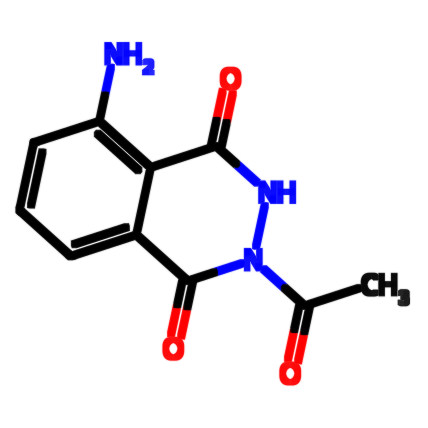 CC(=O)n1[nH]c(=O)c2c(N)cccc2c1=O